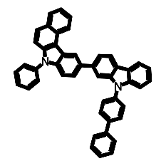 c1ccc(-c2ccc(-n3c4ccccc4c4ccc(-c5ccc6c(c5)c5c7ccccc7ccc5n6-c5ccccc5)cc43)cc2)cc1